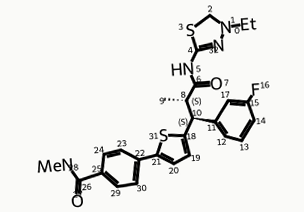 CCN1CSC(NC(=O)[C@@H](C)[C@@H](c2cccc(F)c2)c2ccc(-c3ccc(C(=O)NC)cc3)s2)=N1